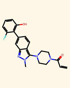 C=CC(=O)N1CCN(c2c3ccc(-c4c(O)cccc4F)cc3nn2C)CC1